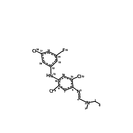 CCN(C)C=Nc1cc(Cl)c(Nc2cc(F)cc(Cl)c2)cc1Cl